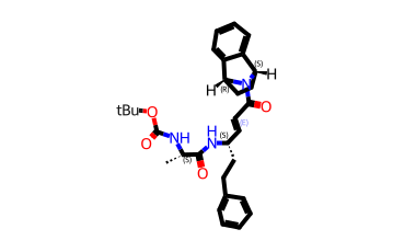 C[C@H](NC(=O)OC(C)(C)C)C(=O)N[C@H](/C=C/C(=O)N1[C@@H]2CC[C@H]1c1ccccc12)CCc1ccccc1